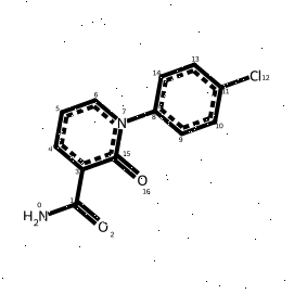 NC(=O)c1cccn(-c2ccc(Cl)cc2)c1=O